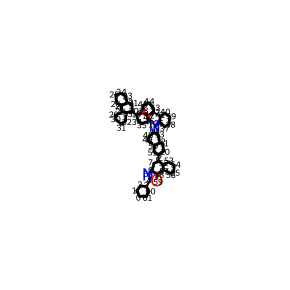 c1ccc(-c2nc3cc(-c4ccc5cc(N(c6ccc(-c7cc8ccccc8c8ccccc78)cc6)c6ccccc6-c6ccccc6)ccc5c4)c4ccccc4c3o2)cc1